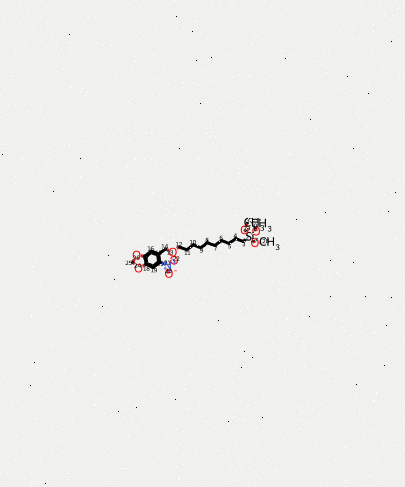 CO[Si](CCCCCCCCCCOCc1cc2c(cc1[N+](=O)[O-])OCO2)(OC)OC